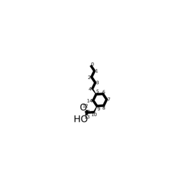 CCCCC[C@H]1CCC[C@@H](CC(=O)O)C1